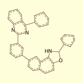 c1ccc(-c2nc(-c3cccc(-c4ccc5ccc6c(c5c4)NC(c4ccccc4)O6)c3)nc3ccccc23)cc1